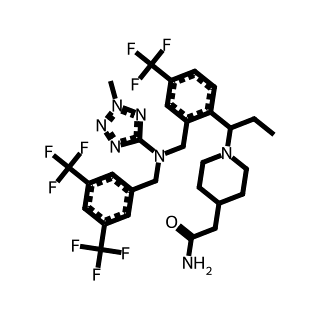 CCC(c1ccc(C(F)(F)F)cc1CN(Cc1cc(C(F)(F)F)cc(C(F)(F)F)c1)c1nnn(C)n1)N1CCC(CC(N)=O)CC1